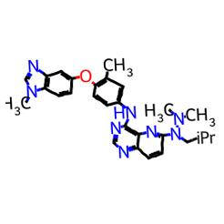 Cc1cc(Nc2ncnc3ccc(N(CC(C)C)N(C)C)nc23)ccc1Oc1ccc2c(c1)ncn2C